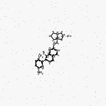 Nc1ccc(C(F)(F)F)c(-c2ncc3cnc(OC[C@@]45CCCN4C[C@H](F)C5)nc3c2F)n1